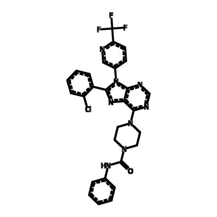 O=C(Nc1ccccc1)N1CCN(c2ncnc3c2nc(-c2ccccc2Cl)n3-c2ccc(C(F)(F)F)nc2)CC1